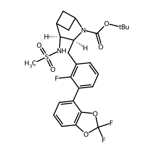 CC(C)(C)OC(=O)N1C2CC(C2)[C@H](NS(C)(=O)=O)[C@@H]1Cc1cccc(-c2cccc3c2OC(F)(F)O3)c1F